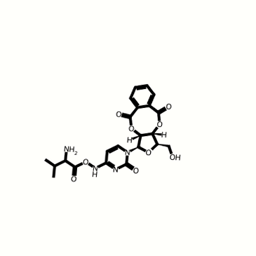 CC(C)C(N)C(=O)ONc1ccn([C@@H]2O[C@H](CO)[C@H]3OC(=O)c4ccccc4C(=O)O[C@H]32)c(=O)n1